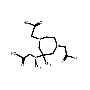 CN(CC(=O)O)C1(C)CN(CC(=O)O)CCN(CC(=O)O)C1